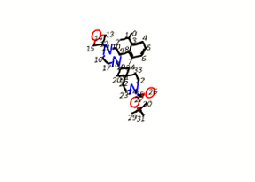 CC(C)c1ccccc1C1CN(C2COC2)CCN1C1CC2(CCN(C(=O)OC(C)(C)C)CC2)C1